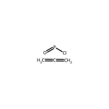 C=C=C.O=PCl